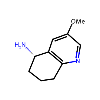 COc1cnc2c(c1)[C@@H](N)CCC2